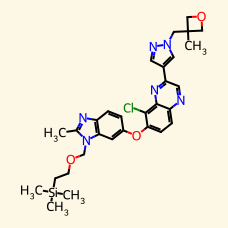 Cc1nc2ccc(Oc3ccc4ncc(-c5cnn(CC6(C)COC6)c5)nc4c3Cl)cc2n1COCC[Si](C)(C)C